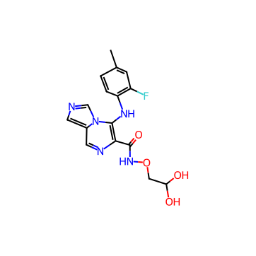 Cc1ccc(Nc2c(C(=O)NOCC(O)O)ncc3cncn23)c(F)c1